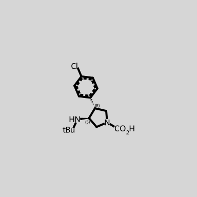 CC(C)(C)N[C@@H]1CN(C(=O)O)C[C@H]1c1ccc(Cl)cc1